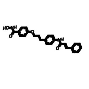 O=C(C=Cc1ccccc1)Nc1ccc(CCCOc2ccc(C(=O)NO)cc2)cc1